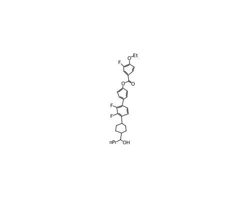 CCCC(O)C1CCC(c2ccc(-c3ccc(OC(=O)c4ccc(OCC)c(F)c4)cc3)c(F)c2F)CC1